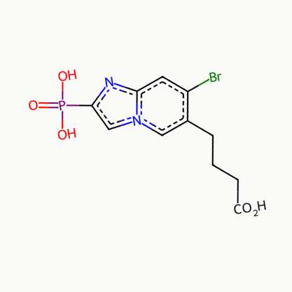 O=C(O)CCCc1cn2cc(P(=O)(O)O)nc2cc1Br